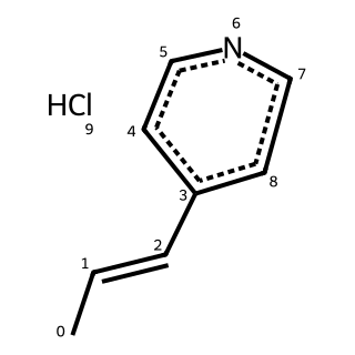 CC=Cc1ccncc1.Cl